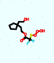 O=C(OCCC1(CCO)CCCC1)C(F)(F)SOOO